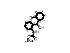 CC(C)(C)OC(=O)Nc1ccccc1C(O)c1ccccc1Cl